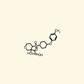 Cc1ccc(OC2CCN(S(=O)(=O)C3CCOCC3(O)C(=O)NO)CC2)cc1